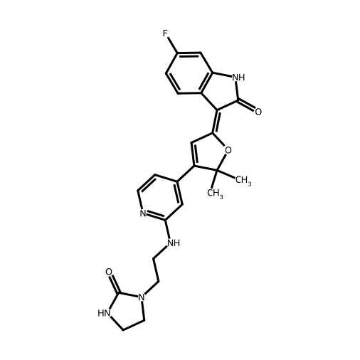 CC1(C)OC(=C2C(=O)Nc3cc(F)ccc32)C=C1c1ccnc(NCCN2CCNC2=O)c1